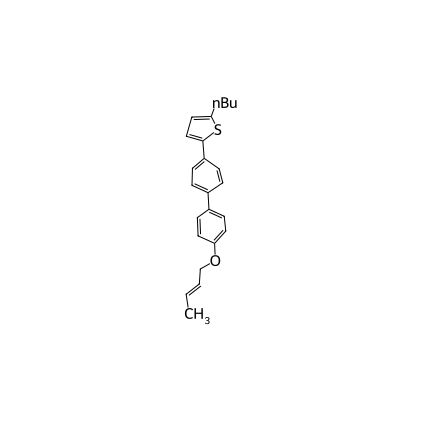 CC=CCOc1ccc(-c2ccc(-c3ccc(CCCC)s3)cc2)cc1